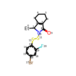 CCC1C2=C(CCCC2)C(=O)N1SSc1ccc(Br)cc1F